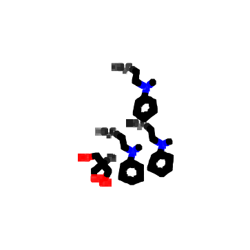 CCC(CO)(CO)CO.CN(CCC(=O)O)c1ccccc1.CN(CCC(=O)O)c1ccccc1.CN(CCC(=O)O)c1ccccc1